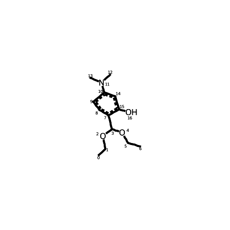 CCOC(OCC)c1ccc(N(C)C)cc1O